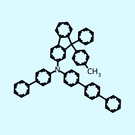 Cc1ccc(C2(c3ccccc3)c3ccccc3-c3ccc(N(c4ccc(-c5ccccc5)cc4)c4ccc(-c5ccc(-c6ccccc6)cc5)cc4)cc32)cc1